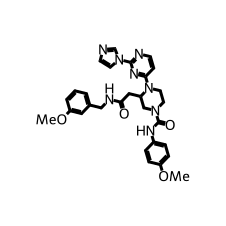 COc1ccc(NC(=O)N2CCN(c3ccnc(-n4ccnc4)n3)C(CC(=O)NCc3cccc(OC)c3)C2)cc1